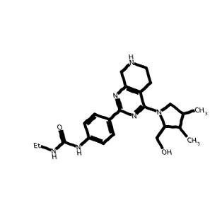 CCNC(=O)Nc1ccc(-c2nc3c(c(N4CC(C)C(C)C4CO)n2)CCNC3)cc1